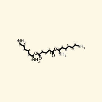 NCCCCCC(N)OC(=O)CCCC(=O)OC(N)CCCCCN